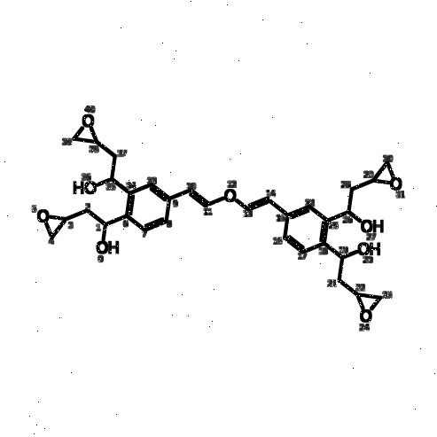 OC(CC1CO1)c1ccc(C=COC=Cc2ccc(C(O)CC3CO3)c(C(O)CC3CO3)c2)cc1C(O)CC1CO1